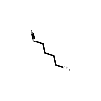 CCCCC[N+]=[N-]